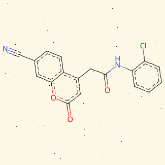 N#Cc1ccc2c(CC(=O)Nc3ccccc3Cl)cc(=O)oc2c1